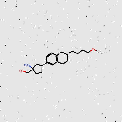 COCCCCC1CCc2cc([C@H]3CC[C@](N)(CO)C3)ccc2C1